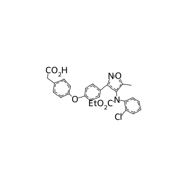 CCOC(=O)N(c1ccccc1Cl)c1c(-c2ccc(Oc3ccc(CC(=O)O)cc3)cc2)noc1C